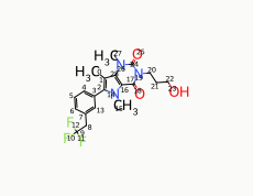 Cc1c(-c2cccc(CC(F)(F)F)c2)n(C)c2c(=O)n(CCCO)c(=O)n(C)c12